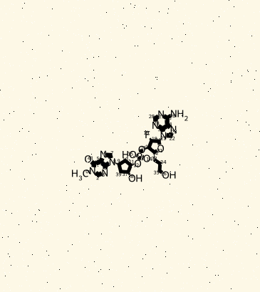 Cn1cnc2c(ncn2[C@@H]2C[C@H](OP(=O)(O)O[C@H]3[C@@H](F)[C@H](n4cnc5c(N)ncnc54)O[C@@H]3CCCO)[C@@H](O)C2)c1=O